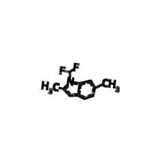 Cc1ccc2cc(C)n(C(F)F)c2c1